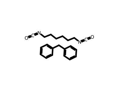 O=C=NCCCCCCN=C=O.c1ccc(Cc2ccccc2)cc1